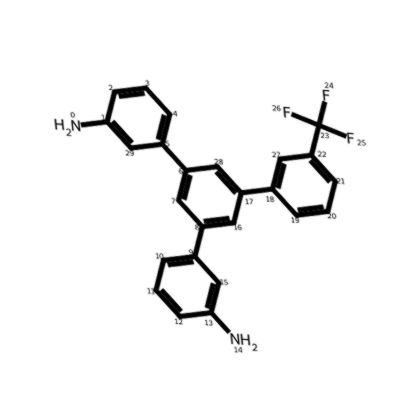 Nc1cccc(-c2cc(-c3cccc(N)c3)cc(-c3cccc(C(F)(F)F)c3)c2)c1